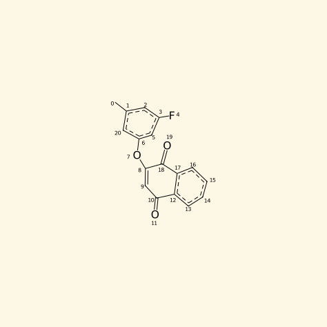 Cc1cc(F)cc(OC2=CC(=O)c3ccccc3C2=O)c1